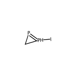 I[PH]1=PC1